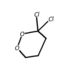 ClC1(Cl)CCCOO1